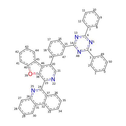 c1ccc(-c2nc(-c3ccccc3)nc(-c3cccc(-c4cnc(-c5nc6ccccc6c6ccccc56)c5oc6ccccc6c45)c3)n2)cc1